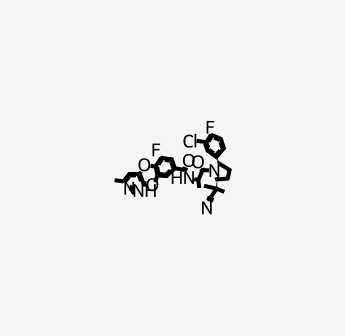 Cc1cc(Oc2c(C)cc(C(=O)NC(C)C(=O)N3[C@H](c4ccc(F)c(Cl)c4)CC[C@@H]3C(C)(C)C#N)cc2F)c(=O)[nH]n1